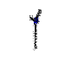 CCCCCCCCCCCCCCCCCCC[n+]1ccn(CCCCCCC)c1CCCC